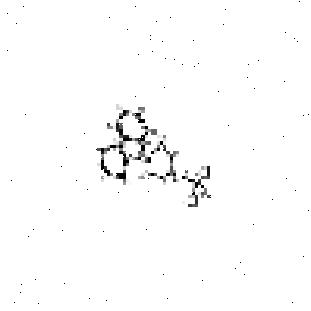 ClC(Cl)(Cl)Cl.c1ccc([Si]2(c3ccccc3)CCCCO2)cc1